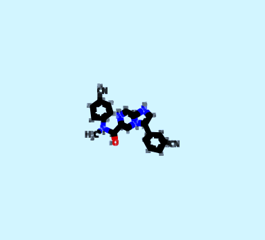 CN(C(=O)c1cn2c(-c3cccc(C#N)c3)cnc2cn1)c1ccc(C#N)cc1